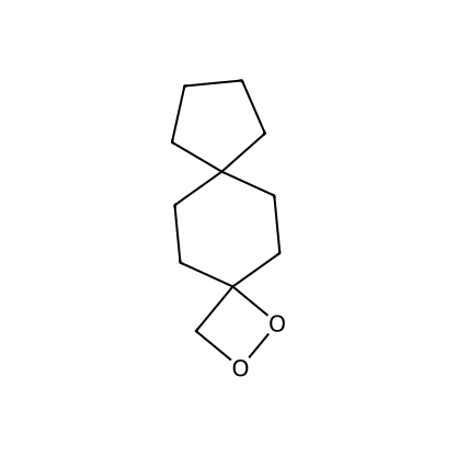 C1CCC2(C1)CCC1(CC2)COO1